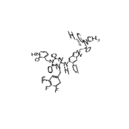 CN(C)C(=O)Cn1cc2cc(Nc3nc(=O)n(Cc4ccc[nH]c4=O)c(=O)n3Cc3cc(F)c(F)c(F)c3)c(Cl)cc2n1